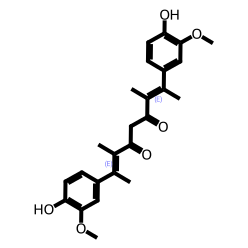 COc1cc(/C(C)=C(\C)C(=O)CC(=O)/C(C)=C(\C)c2ccc(O)c(OC)c2)ccc1O